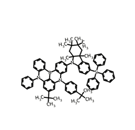 CC(C)(C)c1ccc(N2c3cc(N4c5ccc([Si](c6ccccc6)(c6ccccc6)c6ccccc6)cc5C5(C)CC(C)(C)C(C)(C)CC45C)ccc3B3c4ccccc4N(c4ccccc4)c4cc(C(C)(C)C)cc2c43)cc1